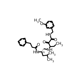 CCC(NC[C@H](CC(C)C)NC(=O)CCc1ccccc1)C(=O)C(=O)NCc1cccc(OC)c1